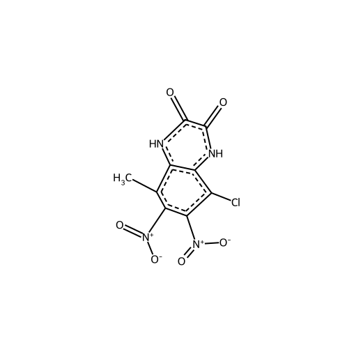 Cc1c([N+](=O)[O-])c([N+](=O)[O-])c(Cl)c2[nH]c(=O)c(=O)[nH]c12